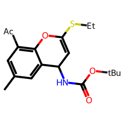 CCSC1=CC(NC(=O)OC(C)(C)C)c2cc(C)cc(C(C)=O)c2O1